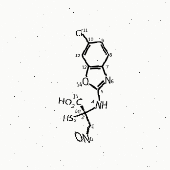 O=NC[C@](S)(Nc1nc2ccc(Cl)cc2o1)C(=O)O